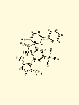 Cc1noc(C)c1-c1cc(C(F)(F)F)nc(C2(C(=O)O)CC(c3ccccc3)=CC=C2F)n1